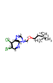 C[Si](C)(C)CCOCn1cnc2c(Cl)c(Br)cnc21